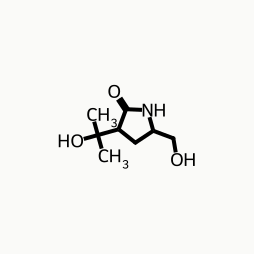 CC(C)(O)C1CC(CO)NC1=O